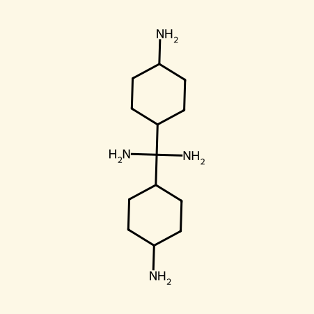 NC1CCC(C(N)(N)C2CCC(N)CC2)CC1